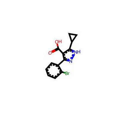 O=C(O)c1c(-c2ccccc2Br)n[nH]c1C1CC1